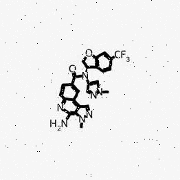 Cn1cc(N(C(=O)c2ccc3nc(N)c4c(cnn4C)c3c2)[C@H]2COc3cc(C(F)(F)F)ccc32)cn1